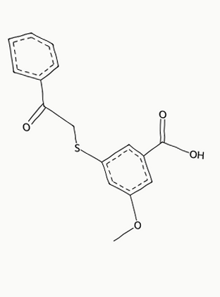 COc1cc(SCC(=O)c2ccccc2)cc(C(=O)O)c1